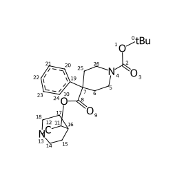 CC(C)(C)OC(=O)N1CCC(C(=O)OC2CN3CCC2CC3)(c2ccccc2)CC1